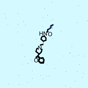 C/C=C/CC(=O)N[C@H]1CC[C@H](CCN2CCC(c3coc4ccccc34)CC2)CC1